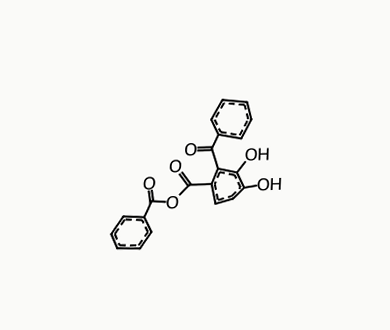 O=C(OC(=O)c1ccc(O)c(O)c1C(=O)c1ccccc1)c1ccccc1